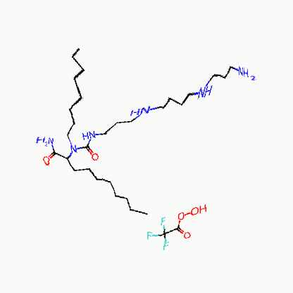 CCCCCCCCC(C(N)=O)N(CCCCCCCC)C(=O)NCCCNCCCCNCCCN.O=C(OO)C(F)(F)F